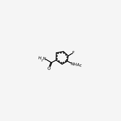 CC(=O)Nc1cc(C(N)=O)ccc1F